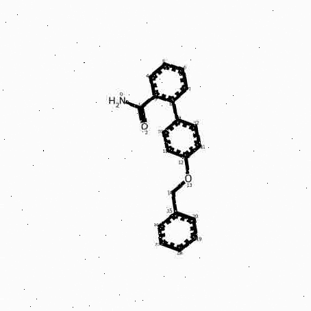 NC(=O)c1ccccc1-c1ccc(OCc2ccccc2)cc1